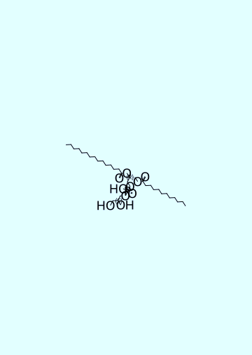 CCCCCCCCCCCCCCC(=O)O[C@H](COC(=O)CCCCCCCCCCC)COP(=O)(O)OC[C@@H](O)CO